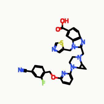 N#Cc1ccc(COc2cccc(N3CCN(Cc4nc5ccc(C(=O)O)cc5n4Cc4cncs4)C4CC43)n2)c(F)c1